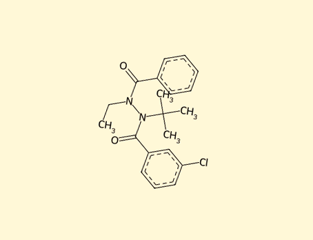 CCN(C(=O)c1ccccc1)N(C(=O)c1cccc(Cl)c1)C(C)(C)C